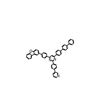 c1ccc(-c2ccc(-c3ccc(-c4cc(-c5ccc(-c6ccc7oc8ccccc8c7c6)cc5)nc(-c5ccc(-c6cccnc6)cc5)n4)cc3)cc2)cc1